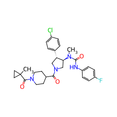 CN(C(=O)Nc1ccc(F)cc1)[C@H]1CN(C(=O)C2CCN(C(=O)C3(C)CC3)CC2)C[C@@H]1c1ccc(Cl)cc1